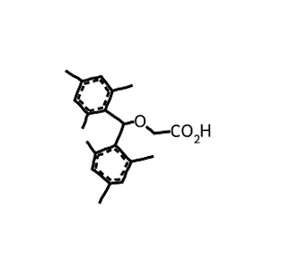 Cc1cc(C)c(C(OCC(=O)O)c2c(C)cc(C)cc2C)c(C)c1